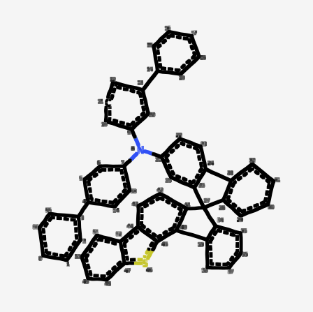 c1ccc(-c2ccc(N(c3cccc(-c4ccccc4)c3)c3ccc4c(c3)C3(c5ccccc5-4)c4ccccc4-c4c3ccc3c4sc4ccccc43)cc2)cc1